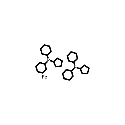 C1CCC(P(C2CCCCC2)C2CCCC2)CC1.C1CCC(P(C2CCCCC2)C2CCCC2)CC1.[Fe]